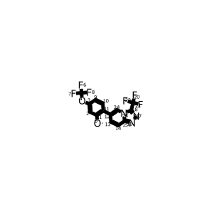 [O]c1cc(OC(F)(F)F)ccc1-c1ccc2nnc(C(F)(F)F)n2c1